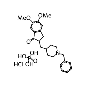 COc1cc2c(cc1OC)C(=O)C(CC1CCN(Cc3ccccc3)CC1)C2.Cl.O=P(O)(O)O